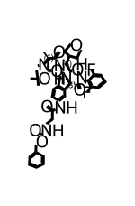 C[C@@H](C(=O)N[C@H](C(=O)N1Cc2ccc(NC(=O)CCNC(=O)OCc3ccccc3)cc2[C@H]1C(=O)Nc1c(F)cccc1F)C1CCOCC1)N(C)C(=O)OC(C)(C)C